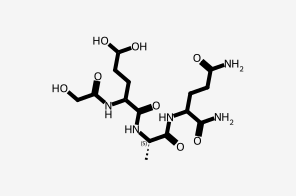 C[C@H](NC(=O)C(CCC(O)O)NC(=O)CO)C(=O)NC(CCC(N)=O)C(N)=O